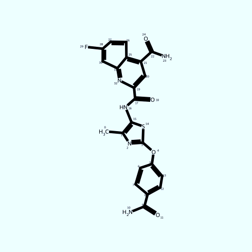 Cc1nc(Oc2ccc(C(N)=O)cc2)sc1NC(=O)c1cc(C(N)=O)c2ccc(F)cc2n1